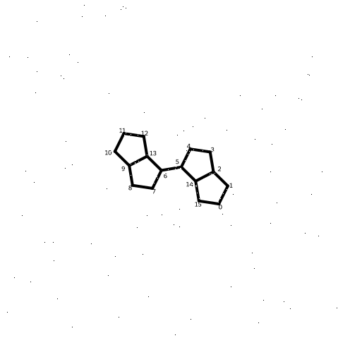 C1CC2CCC(C3CCC4CCCC43)C2C1